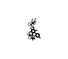 Cc1ccc(-c2c(C)c3c(c(C)c2[C@H](OC(C)(C)C)C(=O)O)CN(C(=O)C(C)(C)C(F)(F)F)C3)cc1